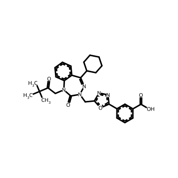 CC(C)(C)C(=O)CN1C(=O)N(Cc2nnc(-c3cccc(C(=O)O)c3)o2)N=C(C2CCCCC2)c2ccccc21